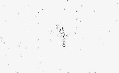 COc1c2c(cc(F)c1N1CCCC1)N1C(=O)O[C@@H](COc3ccon3)[C@@H]1C2